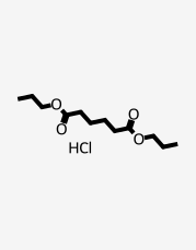 CCCOC(=O)CCCCC(=O)OCCC.Cl